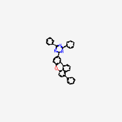 c1ccc(-c2nc(-c3ccccc3)nc(-c3ccc4c(c3)-c3cccc5c(-c6ccccc6)ccc(c35)O4)n2)cc1